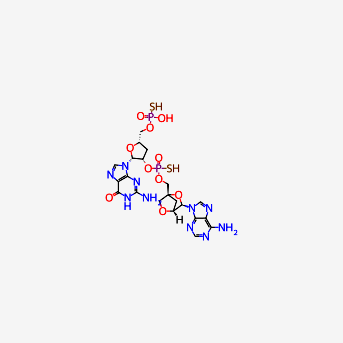 Nc1nc2c(ncn2[C@@H]2O[C@H](COP(=O)(O)S)C[C@@H]2OP(=O)(S)OC[C@]23CO[C@H](C2)[C@H](n2cnc4c(N)ncnc42)O3)c(=O)[nH]1